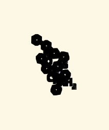 CC(/N=C(\N=C(/N)c1ccccc1)C1=CC=CCC1)c1ccc2c(oc3c(-n4c5ccccc5c5ccc(-c6ccccc6)cc54)cccc32)c1-c1ccc2sc3ccccc3c2c1